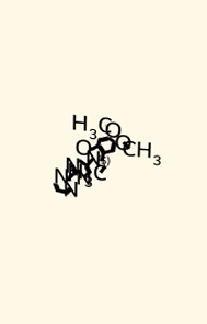 CC[C@H]1c2cc(OC)c(OC)cc2C(=O)N1c1cnc(-c2ncccn2)nc1